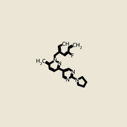 C=C/C(F)=C\C(=C/C)CN1N=C(c2cnc(N3CCCC3)nc2)C=CC1=C